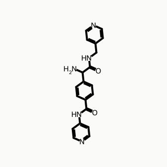 NC(C(=O)NCc1ccncc1)c1ccc(C(=O)Nc2ccncc2)cc1